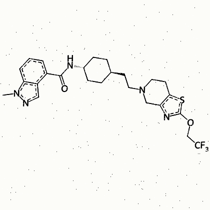 Cn1ncc2c(C(=O)N[C@H]3CC[C@H](CCN4CCc5sc(OCC(F)(F)F)nc5C4)CC3)cccc21